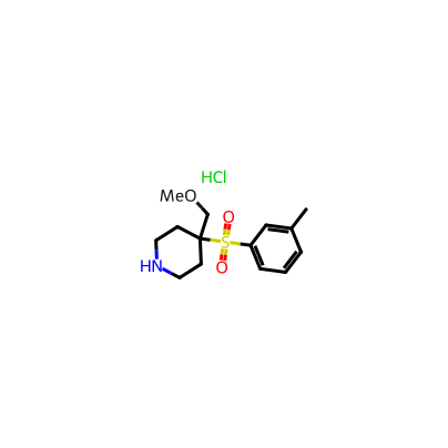 COCC1(S(=O)(=O)c2cccc(C)c2)CCNCC1.Cl